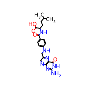 CC(C)CCC(NC(=O)c1ccc(NCc2cnc3nc(N)[nH]c(=O)c3n2)cc1)C(=O)O